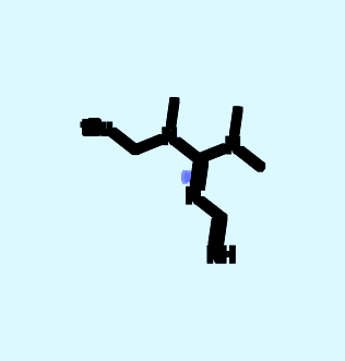 CN(C)/C(=N\C=N)N(C)CC(C)(C)C